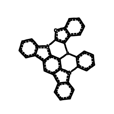 c1ccc2c(c1)B1c3c(oc4ccccc34)-n3c4ccccc4c4cc5c6ccccc6n-2c5c1c43